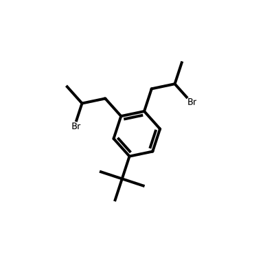 CC(Br)Cc1ccc(C(C)(C)C)cc1CC(C)Br